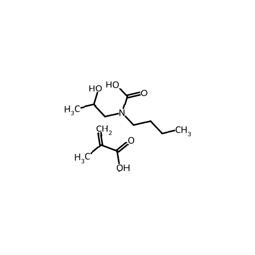 C=C(C)C(=O)O.CCCCN(CC(C)O)C(=O)O